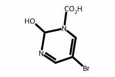 O=C(O)N1C=C(Br)C=NC1O